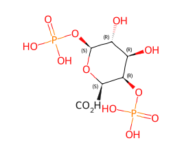 O=C(O)[C@H]1O[C@@H](OP(=O)(O)O)[C@H](O)[C@@H](O)[C@H]1OP(=O)(O)O